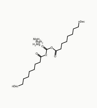 CCCCCCCCCCCCCCCCCC(=O)OC(=O)OC(=O)CCCCCCCCCCCCCCCCC.[MgH2].[MgH2].[MgH2]